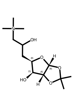 CC1(C)O[C@H]2O[C@H](CC(O)C[Si](C)(C)C)[C@H](O)[C@H]2O1